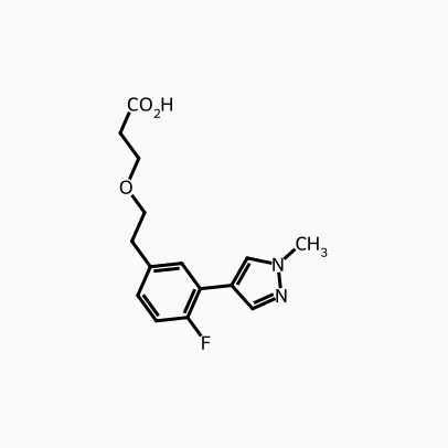 Cn1cc(-c2cc(CCOCCC(=O)O)ccc2F)cn1